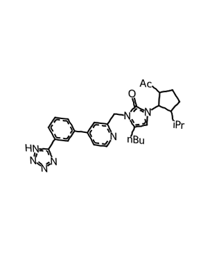 CCCCc1cn(C2C(C(C)=O)CCC2C(C)C)c(=O)n1Cc1cc(-c2cccc(-c3nnn[nH]3)c2)ccn1